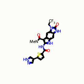 CNC(=O)c1c(NC(=O)c2ccc(-c3cn[nH]c3)s2)[nH]c2cc3[nH]c(=O)n(CC(F)(F)F)c3cc12